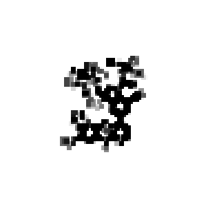 COc1nc(C)c(Nc2nccc(-c3cc(C#N)c4c(c3)[C@@](C)(CO[Si](C)(C)C(C)(C)C)CN4C(=O)OC(C)(C)C)n2)cc1C